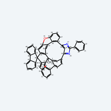 CC12c3cc(ccc3-c3ccccc3)-c3cc(nc(-c4ccccc4)n3)-c3cccc4oc5cc(c1cc5c34)C1(c3ccccc3-c3ccccc31)c1ccccc12